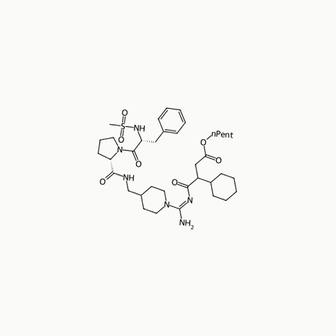 CCCCCOC(=O)CC(C(=O)/N=C(/N)N1CCC(CNC(=O)[C@@H]2CCCN2C(=O)[C@@H](Cc2ccccc2)NS(C)(=O)=O)CC1)C1CCCCC1